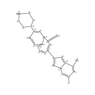 CCc1nc(C)cn2nc(C3=C\C(=O)N4C=C(C5CCNCC5)N=C\C4=C/C=C/3)cc12